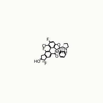 CNC(=O)c1cc2c(c(F)c1-c1c(Cl)c(F)cc3c1C[C@](c1ccccc1)([C@@H]1CCCN1)O3)C[C@@H](O)[C@H]2F